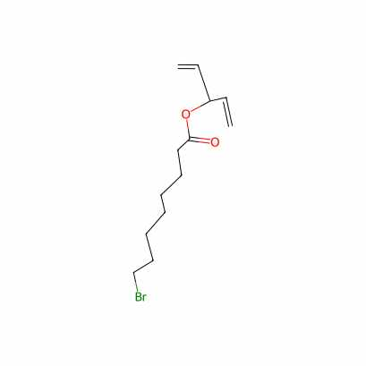 C=CC(C=C)OC(=O)CCCCCCCBr